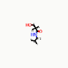 CC(C)[C@@H](C)NC(=O)C(C)(C)CO